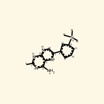 Cc1nc(N)c2nc(-c3cccc([Si](C)(C)C)c3)cnc2n1